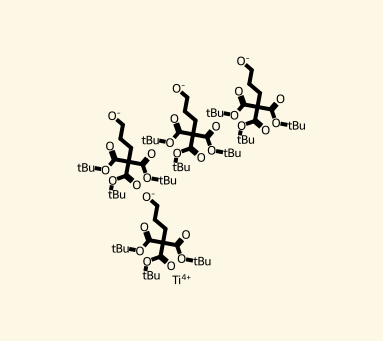 CC(C)(C)OC(=O)C(CCC[O-])(C(=O)OC(C)(C)C)C(=O)OC(C)(C)C.CC(C)(C)OC(=O)C(CCC[O-])(C(=O)OC(C)(C)C)C(=O)OC(C)(C)C.CC(C)(C)OC(=O)C(CCC[O-])(C(=O)OC(C)(C)C)C(=O)OC(C)(C)C.CC(C)(C)OC(=O)C(CCC[O-])(C(=O)OC(C)(C)C)C(=O)OC(C)(C)C.[Ti+4]